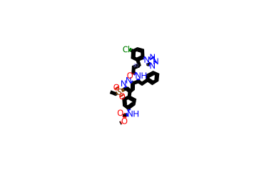 CCS(=O)(=O)c1nnc(C(Cc2ccccc2)NC(=O)/C=C/c2cc(Cl)ccc2-n2cnnn2)cc1-c1ccc(NC(=O)OC)cc1